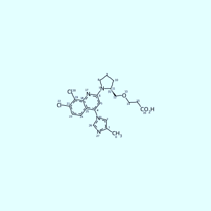 Cc1cn(-c2cc(N3CCC[C@H]3COCCC(=O)O)nc3c(Cl)c(Cl)ccc23)cn1